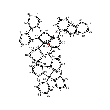 c1ccc(-c2ccccc2-c2ccccc2-c2ccccc2N(c2ccc(-c3cccc4c3oc3ccccc34)cc2)c2cccc3c2-c2ccccc2C3(c2ccccc2)c2ccccc2)cc1